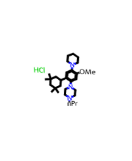 CCCN1CCN(c2cc(OC)c(N3CCCCC3)cc2C2CC(C)(C)CC(C)(C)C2)CC1.Cl